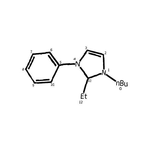 CCCCN1C=CN(c2ccccc2)C1CC